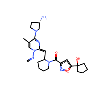 C=NN1C=C(C)C(N2CC[C@H](N)C2)=N/C1=C/C1CCCCN1C(=O)c1cc(C2(O)CCCC2)on1